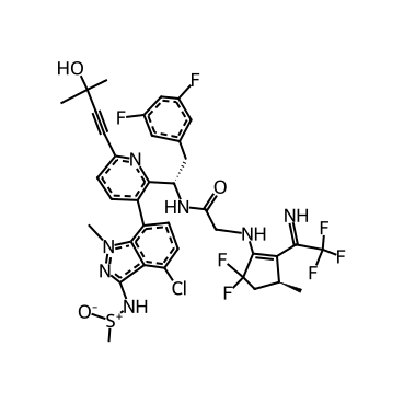 C[C@H]1CC(F)(F)C(NCC(=O)N[C@@H](Cc2cc(F)cc(F)c2)c2nc(C#CC(C)(C)O)ccc2-c2ccc(Cl)c3c(N[S+](C)[O-])nn(C)c23)=C1C(=N)C(F)(F)F